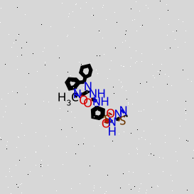 CN1C(=O)[C@H](NC(=O)Nc2cccc(S(=O)(=O)Nc3nncs3)c2)N=C(C2CCCCC2)c2ccccc21